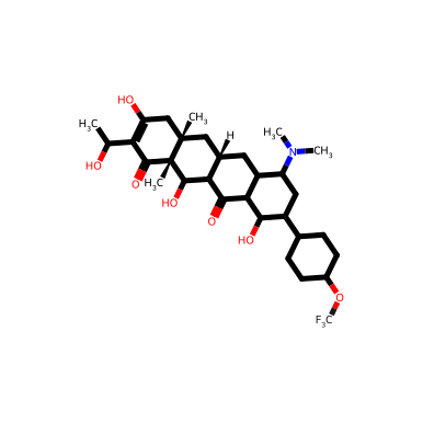 CC(O)C1=C(O)C[C@]2(C)C[C@@H]3CC4C(C(=O)C3C(O)[C@]2(C)C1=O)C(O)C(C1CCC(OC(F)(F)F)CC1)CC4N(C)C